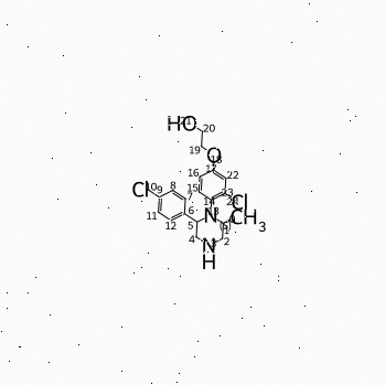 C[C@H]1CNCC(c2ccc(Cl)cc2)N1c1ccc(OCCO)cc1Cl